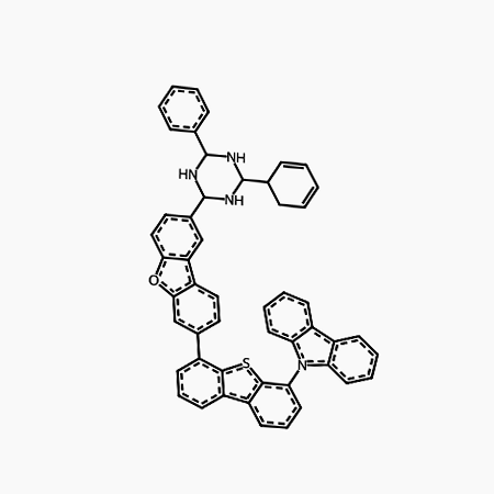 C1=CCC(C2NC(c3ccccc3)NC(c3ccc4oc5cc(-c6cccc7c6sc6c(-n8c9ccccc9c9ccccc98)cccc67)ccc5c4c3)N2)C=C1